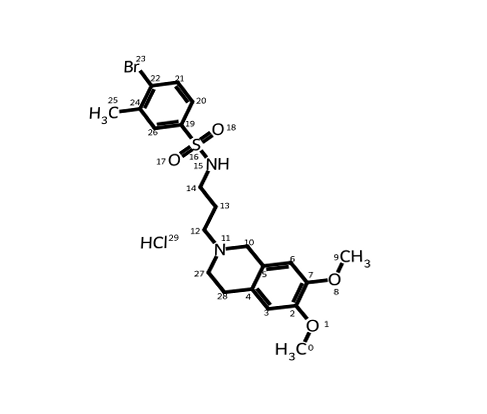 COc1cc2c(cc1OC)CN(CCCNS(=O)(=O)c1ccc(Br)c(C)c1)CC2.Cl